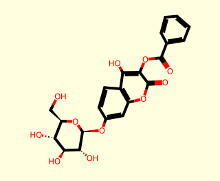 O=C(Oc1c(O)c2ccc(O[C@@H]3O[C@H](CO)[C@@H](O)[C@H](O)[C@H]3O)cc2oc1=O)c1ccccc1